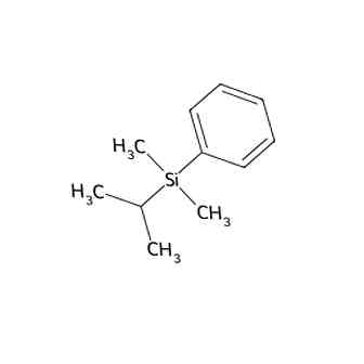 CC(C)[Si](C)(C)c1ccccc1